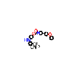 N#Cc1ccc(N[C@H]2CC[C@H](OCC(=O)N3CCC(c4ccc(Oc5ccccc5)cc4)CC3)CC2)cc1C(F)(F)F